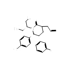 C=CC[C@@]1(C)C[C@H](c2cccc(Cl)c2)[C@@H](c2ccc(Cl)cc2)N([C@@H](CC(C)C)[C@H](C)O)C1=O